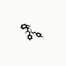 O=C(c1n[nH]c2ccccc12)[C@H](NCCc1ccc(Cl)cc1)c1ccccc1